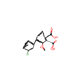 COc1c(-c2cccc(Cl)c2)ccc(C(=O)O)c1C(=O)O